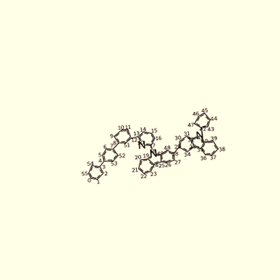 c1ccc(-c2ccc(-c3cccc(-c4cccc(-n5c6ccccc6c6ccc(-c7ccc8c(c7)c7ccccc7n8-c7ccccc7)cc65)n4)c3)cc2)cc1